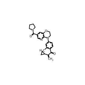 C=C(C(=O)c1ccc(N2CCOc3cc(C(=O)N4CCCC4)cnc32)cc1C)C1CC1